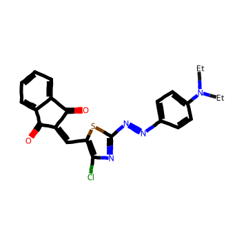 CCN(CC)c1ccc(N=Nc2nc(Cl)c(C=C3C(=O)c4ccccc4C3=O)s2)cc1